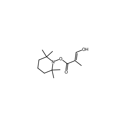 CC(=CO)C(=O)ON1C(C)(C)CCCC1(C)C